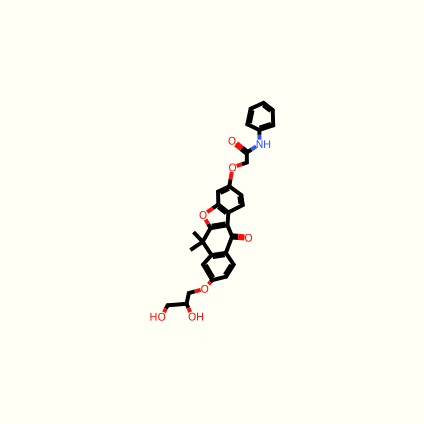 CC1(C)c2cc(OCC(O)CO)ccc2C(=O)c2c1oc1cc(OCC(=O)Nc3ccccc3)ccc21